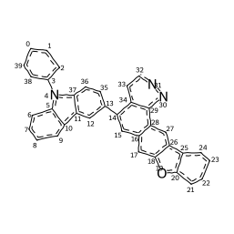 c1ccc(-n2c3ccccc3c3cc(-c4cc5cc6oc7ccccc7c6cc5c5nnccc45)ccc32)cc1